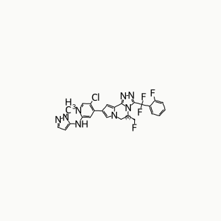 Cn1nccc1Nc1cc(-c2cc3n(c2)C[C@H](CF)n2c-3nnc2C(F)(F)c2ccccc2F)c(Cl)cn1